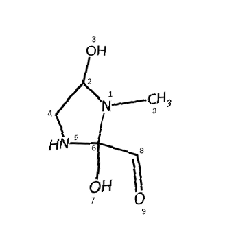 CN1C(O)CNC1(O)C=O